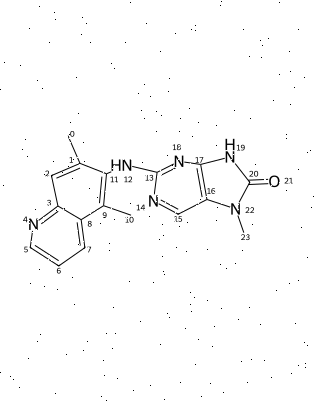 Cc1cc2ncccc2c(C)c1Nc1ncc2c(n1)[nH]c(=O)n2C